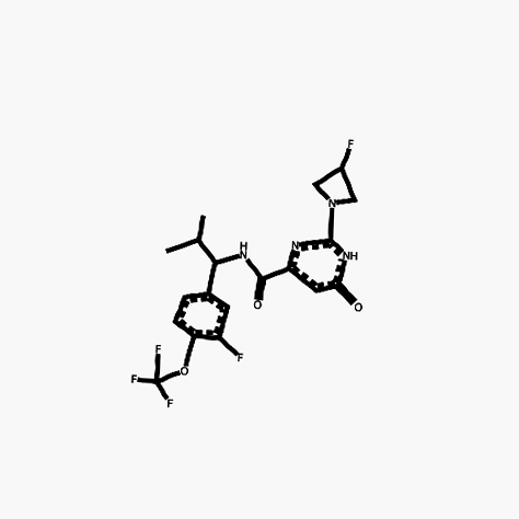 CC(C)C(NC(=O)c1cc(=O)[nH]c(N2CC(F)C2)n1)c1ccc(OC(F)(F)F)c(F)c1